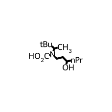 CCCC(O)CCN(C(=O)O)C(C)C(C)(C)C